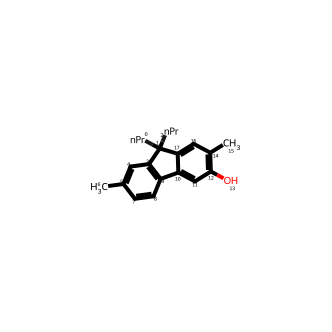 CCCC1(CCC)c2cc(C)ccc2-c2cc(O)c(C)cc21